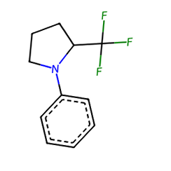 FC(F)(F)C1CCCN1c1ccccc1